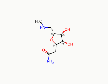 CNC[C@H]1O[C@@H](CC(N)=O)[C@H](O)[C@@H]1O